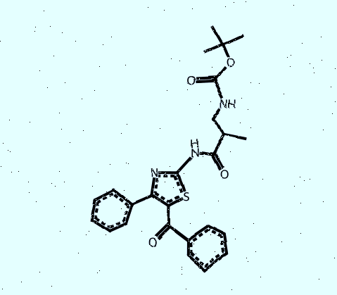 CC(CNC(=O)OC(C)(C)C)C(=O)Nc1nc(-c2ccccc2)c(C(=O)c2ccccc2)s1